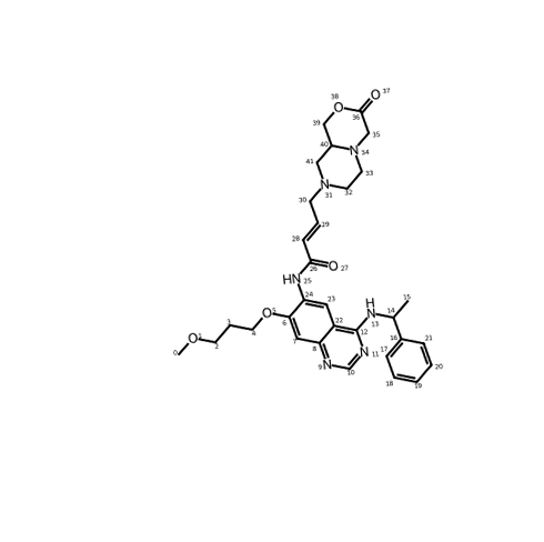 COCCCOc1cc2ncnc(NC(C)c3ccccc3)c2cc1NC(=O)C=CCN1CCN2CC(=O)OCC2C1